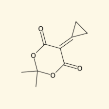 CC1(C)OC(=O)C(=C2CC2)C(=O)O1